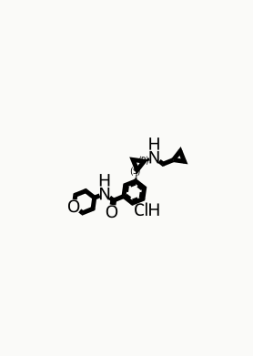 Cl.O=C(NC1CCOCC1)c1cccc([C@@H]2C[C@H]2NCC2CC2)c1